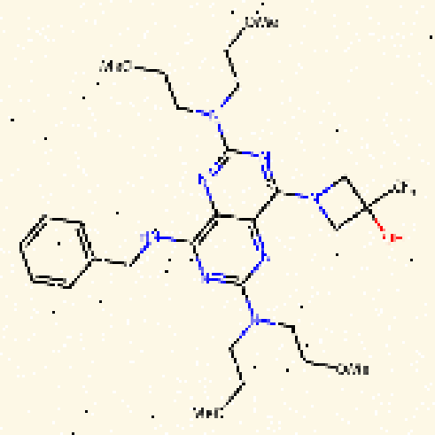 COCCN(CCOC)c1nc(N2CC(O)(C(F)(F)F)C2)c2nc(N(CCOC)CCOC)nc(NCc3ccccc3)c2n1